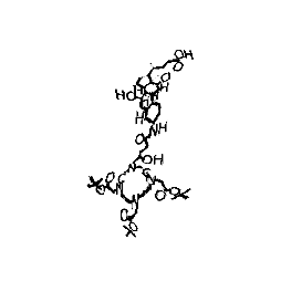 C[C@H](CCC(=O)O)[C@H]1CC[C@H]2[C@@H]3[C@H](O)C[C@@H]4C[C@@H](NC(=O)CCC(O)CN5CCN(CC(=O)OC(C)(C)C)CCN(CC(=O)OC(C)(C)C)CCN(CC(=O)OC(C)(C)C)CC5)CC[C@]4(C)[C@H]3C[C@H](O)[C@]12C